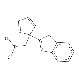 [Cl][Ti]([Cl])[CH2]C1(C2=Cc3ccccc3C2)C=CC=C1